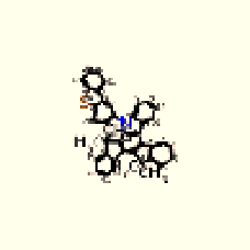 CC1(C)c2ccccc2-c2c1c1c(c3c2c2ccccc2n3-c2ccc3sc4ccccc4c3c2)C(C)(C)c2ccccc2-1